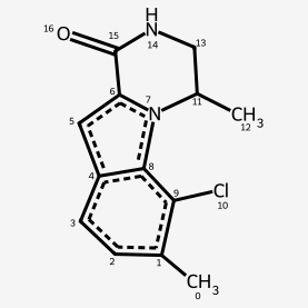 Cc1ccc2cc3n(c2c1Cl)C(C)CNC3=O